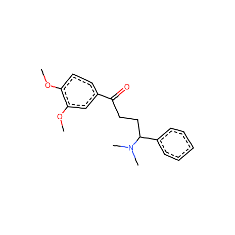 COc1ccc(C(=O)CCC(c2ccccc2)N(C)C)cc1OC